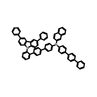 c1ccc(-c2ccc(-c3ccc(N(c4ccc(-c5ccc(-c6ccccc6-n6c7ccc(-c8ccccc8)cc7c7cc(-c8ccccc8)ccc76)cc5)cc4)c4ccc5ccccc5c4)cc3)cc2)cc1